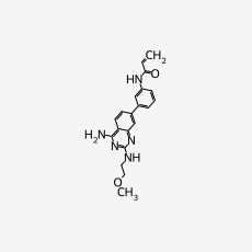 C=CC(=O)Nc1cccc(-c2ccc3c(N)nc(NCCOC)nc3c2)c1